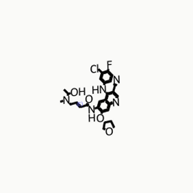 CC(O)N(C)C/C=C/C(=O)Nc1cc2c(Nc3ccc(F)c(Cl)c3)c(C#N)cnc2cc1OC1CCOC1